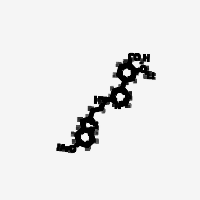 CCOc1cc(-c2cc(NCCc3cc4cc(OC)ccc4s3)ncn2)ccc1C(=O)O